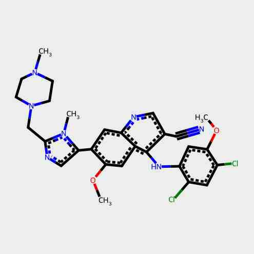 COc1cc(Nc2c(C#N)cnc3cc(-c4cnc(CN5CCN(C)CC5)n4C)c(OC)cc23)c(Cl)cc1Cl